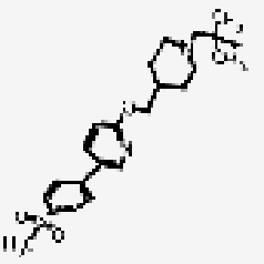 CC(C)(F)CN1CCC(COc2ccc(-c3ccc(S(C)(=O)=O)cc3)cn2)CC1